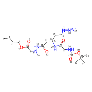 CCCCOC(=O)CN(C)NC(=O)C[C@H](CCN=[N+]=[N-])NC(=O)CNC(=O)OC(C)(C)C